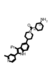 Cc1cc(-c2[nH]c3ccc(C4CCN(C(=O)[C@@H]5CCC[C@H](N)C5)CC4)cc3c2C(C)C)ccn1